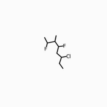 CCC(Cl)CC(F)C(C)C(C)F